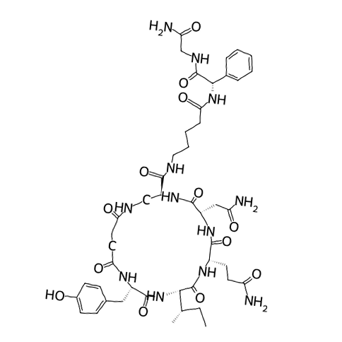 CC[C@H](C)[C@@H]1NC(=O)[C@H](Cc2ccc(O)cc2)NC(=O)CCC(=O)NC[C@@H](C(=O)NCCCCC(=O)N[C@H](C(=O)NCC(N)=O)c2ccccc2)NC(=O)[C@H](CC(N)=O)NC(=O)[C@H](CCC(N)=O)NC1=O